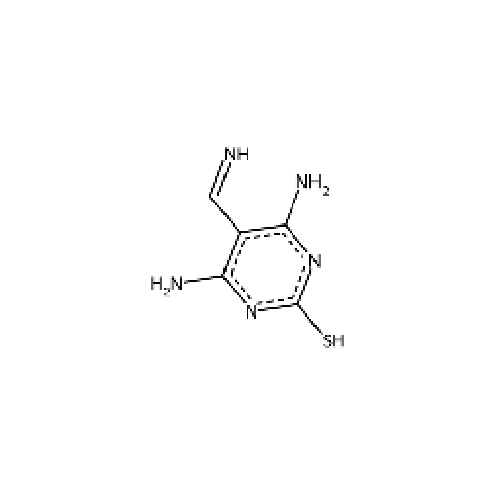 N=Cc1c(N)nc(S)nc1N